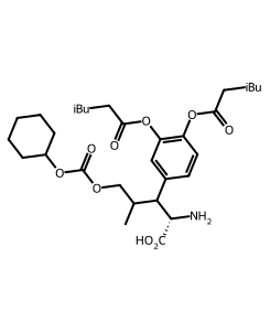 CCC(C)CC(=O)Oc1ccc(C(C(C)COC(=O)OC2CCCCC2)[C@H](N)C(=O)O)cc1OC(=O)CC(C)CC